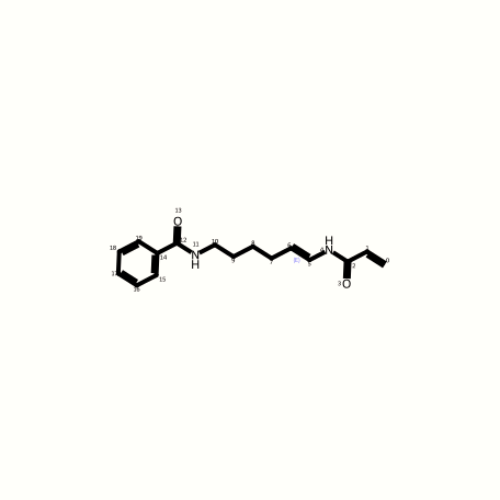 C=CC(=O)N/C=C/CCCCNC(=O)c1ccccc1